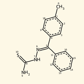 Cc1ccc(/C(=N/NC(N)=S)c2ccccc2)cc1